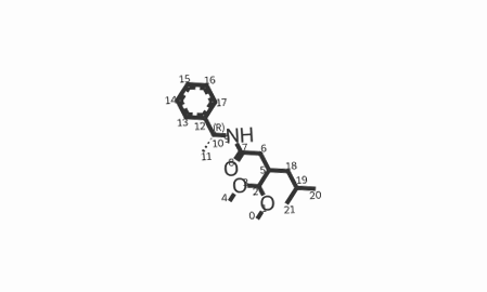 COC(OC)C(CC(=O)N[C@H](C)c1ccccc1)CC(C)C